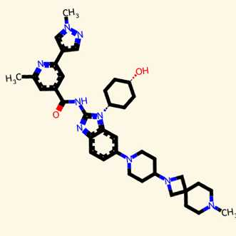 Cc1cc(C(=O)Nc2nc3ccc(N4CCC(N5CC6(CCN(C)CC6)C5)CC4)cc3n2[C@H]2CC[C@@H](O)CC2)cc(-c2cnn(C)c2)n1